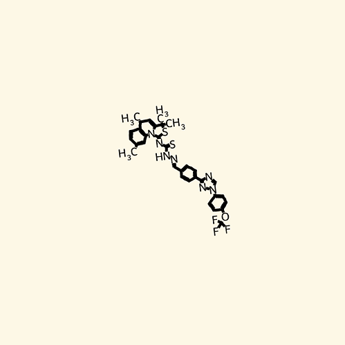 Cc1ccc2c(c1)N1C(=CC2C)C(C)(C)S/C1=N\C(=S)N/N=C/c1ccc(-c2ncn(-c3ccc(OC(F)(F)F)cc3)n2)cc1